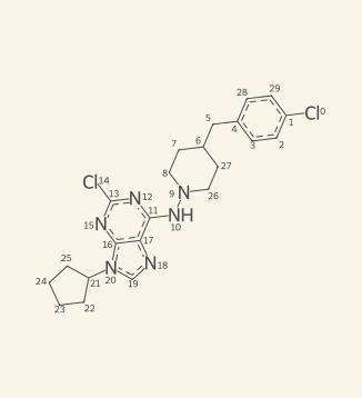 Clc1ccc(CC2CCN(Nc3nc(Cl)nc4c3ncn4C3CCCC3)CC2)cc1